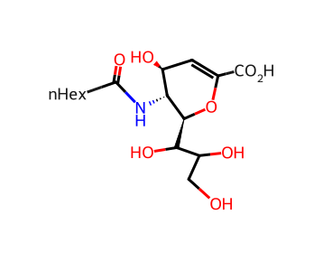 CCCCCCC(=O)N[C@@H]1[C@@H](O)C=C(C(=O)O)O[C@H]1C(O)C(O)CO